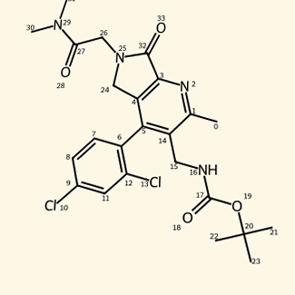 Cc1nc2c(c(-c3ccc(Cl)cc3Cl)c1CNC(=O)OC(C)(C)C)CN(CC(=O)N(C)C)C2=O